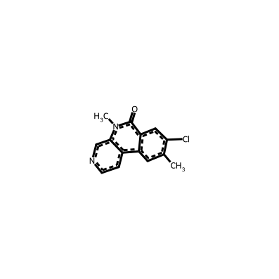 Cc1cc2c(cc1Cl)c(=O)n(C)c1cnccc21